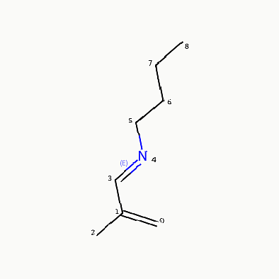 C=C(C)/C=N/CCCC